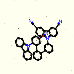 N#Cc1ccc(-n2c3ccccc3c3ccccc32)c(-c2ccccc2-c2cccc(-n3c4ccc(C#N)cc4c4cc(C#N)ccc43)c2)c1